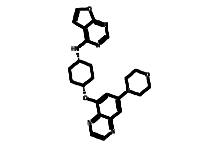 c1cnc2c(O[C@H]3CC[C@@H](Nc4ncnc5occc45)CC3)cc(N3CCOCC3)cc2n1